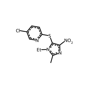 CCn1c(C)nc([N+](=O)[O-])c1Sc1ccc(Cl)cn1